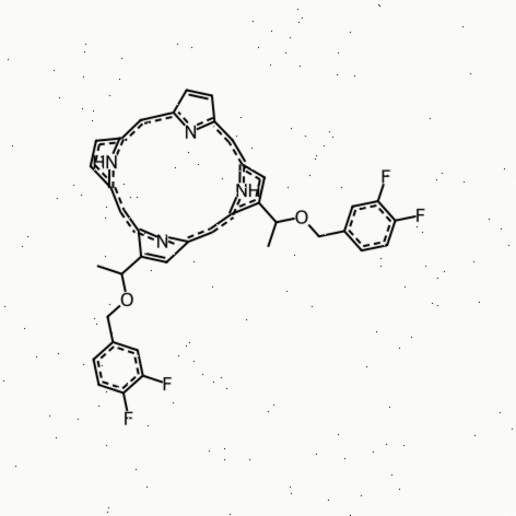 CC(OCc1ccc(F)c(F)c1)C1=Cc2cc3[nH]c(cc4nc(cc5ccc(cc1n2)[nH]5)C=C4)cc3C(C)OCc1ccc(F)c(F)c1